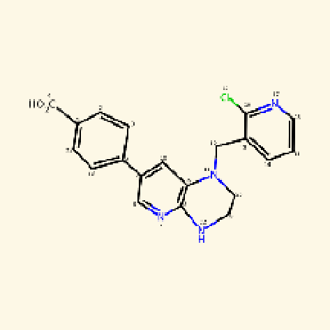 O=C(O)c1ccc(-c2cnc3c(c2)N(Cc2cccnc2Cl)CCN3)cc1